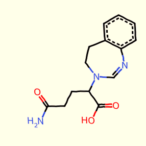 NC(=O)CCC(C(=O)O)N1C=Nc2ccccc2CC1